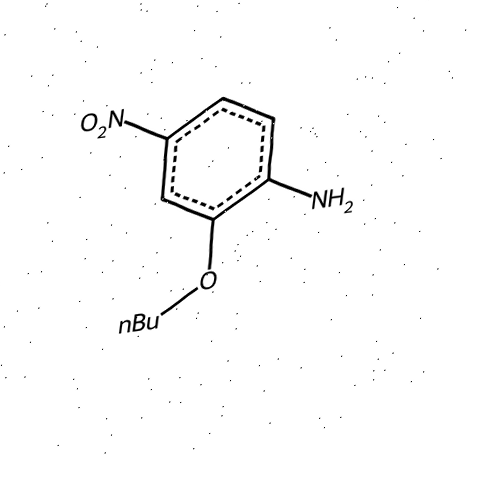 CCCCOc1cc([N+](=O)[O-])ccc1N